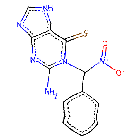 Nc1nc2nc[nH]c2c(=S)n1C(c1ccccc1)[N+](=O)[O-]